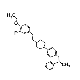 CCOc1ccc(CCC2CCC(c3ccc(C[C@@H](C)c4ccccc4)cc3)CC2)cc1F